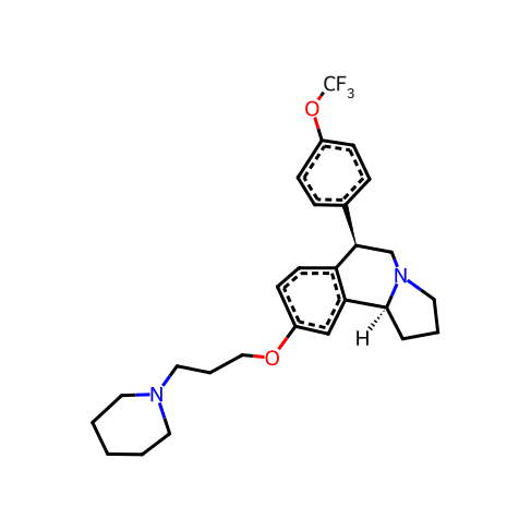 FC(F)(F)Oc1ccc([C@H]2CN3CCC[C@H]3c3cc(OCCCN4CCCCC4)ccc32)cc1